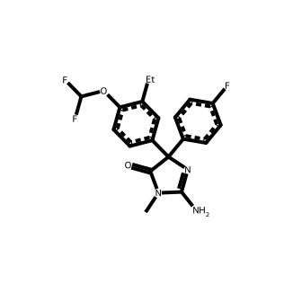 CCc1cc(C2(c3ccc(F)cc3)N=C(N)N(C)C2=O)ccc1OC(F)F